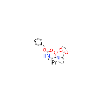 CC(C)[C@@H](NC(=O)OCc1ccccc1)C(=O)N1CCCC1C1OCCO1